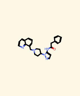 O=C(Cc1ccccc1)Nc1ccnn1C1CCN(Cc2cccc3cccnc23)CC1